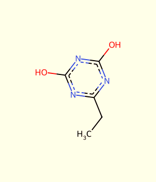 CCc1nc(O)nc(O)n1